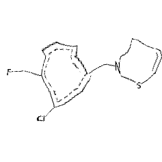 Fc1ccc(N2CC=CS2)cc1Cl